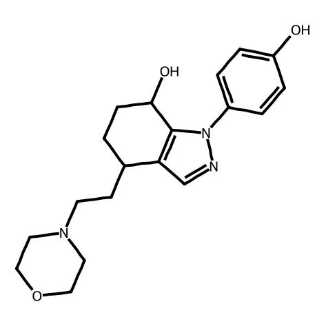 Oc1ccc(-n2ncc3c2C(O)CCC3CCN2CCOCC2)cc1